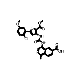 COC(=O)c1sc(-c2cc(OC)ccc2Cl)cc1NC(=O)Nc1cnc(C)c2ccc(C(=O)O)cc12